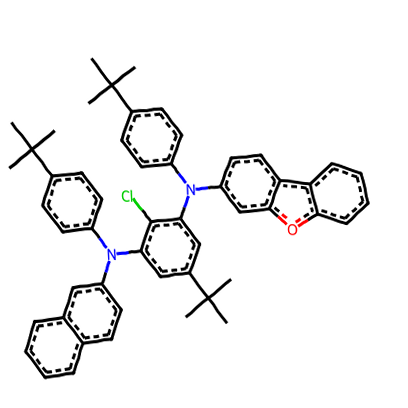 CC(C)(C)c1ccc(N(c2ccc3ccccc3c2)c2cc(C(C)(C)C)cc(N(c3ccc(C(C)(C)C)cc3)c3ccc4c(c3)oc3ccccc34)c2Cl)cc1